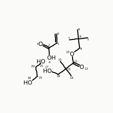 C=CC(=O)O.CC(C)(C)COC(=O)C(C)(C)CO.OCCO